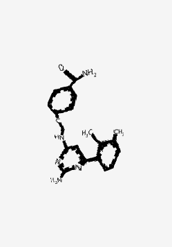 Cc1cccc(-c2cc(NCCc3ccc(C(N)=O)cc3)nc(N)n2)c1C